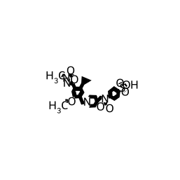 CCOc1cc(-c2nn(C)c(=O)o2)c(C2CC2)cc1CN1CCC2(CC1)CN(c1ccc(S(=O)(=O)O)cc1)C(=O)O2